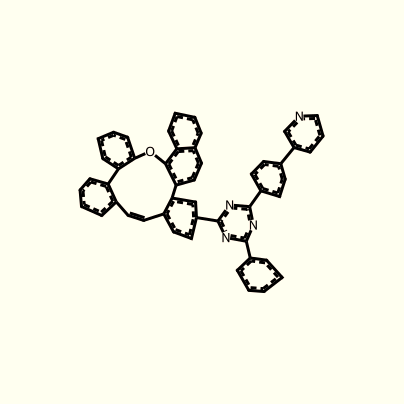 C1=C\c2ccc(-c3nc(-c4ccccc4)nc(-c4ccc(-c5cccnc5)cc4)n3)cc2-c2ccc3ccccc3c2Oc2ccccc2-c2ccccc2/1